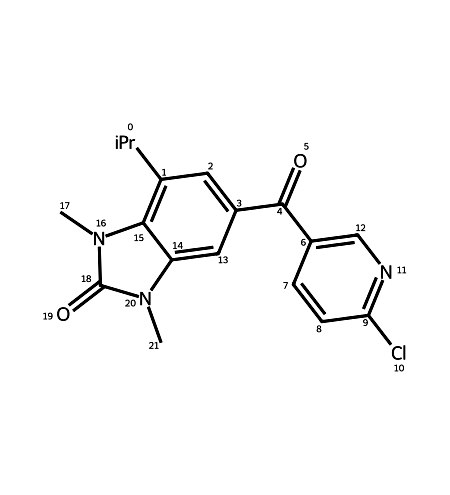 CC(C)c1cc(C(=O)c2ccc(Cl)nc2)cc2c1n(C)c(=O)n2C